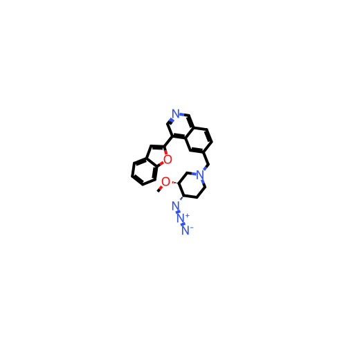 CO[C@@H]1CN(Cc2ccc3cncc(-c4cc5ccccc5o4)c3c2)CC[C@@H]1N=[N+]=[N-]